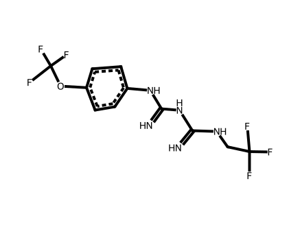 N=C(NCC(F)(F)F)NC(=N)Nc1ccc(OC(F)(F)F)cc1